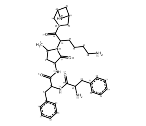 CC1CC(NC(=O)C(Cc2ccccc2)NC(=O)C(N)Cc2ccccc2)C(=O)N1C(CCCCN)C(=O)N1CC2CC(C1)N2